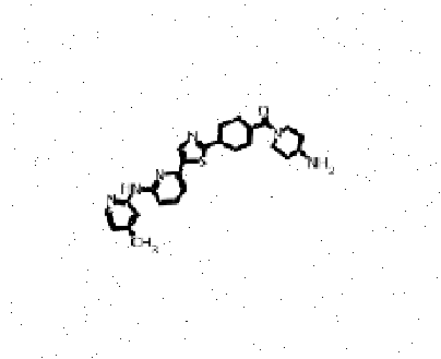 Cc1ccnc(Nc2cccc(-c3cnc(C4CCC(C(=O)N5CCC(N)CC5)CC4)s3)n2)c1